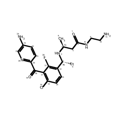 CC[C@@H](N[C@@H](C)CC(=O)NCCN)c1ccc(Cl)c(C(=O)c2ccc(N)cn2)c1F